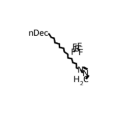 C=CN1C=CN(CCCCCCCCCCCCCCCCCCCCCCCC)C1.F[B-](F)(F)F